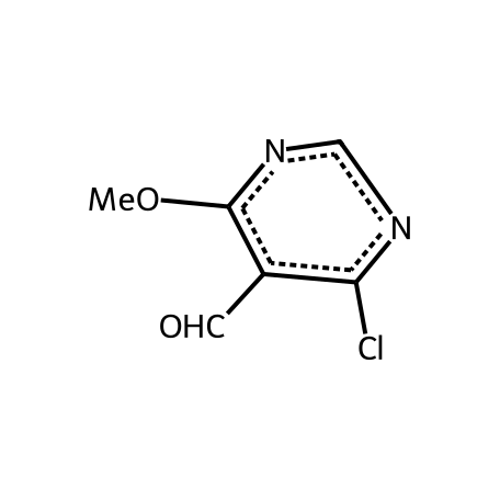 COc1ncnc(Cl)c1C=O